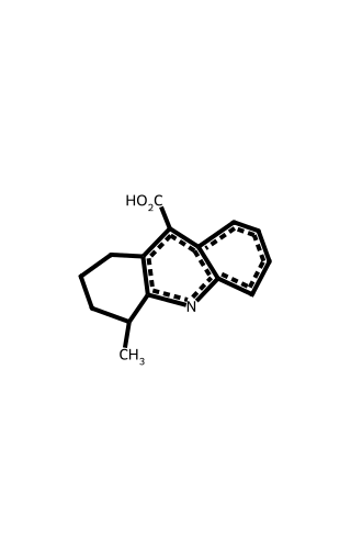 CC1CCCc2c1nc1ccccc1c2C(=O)O